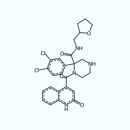 O=C(c1cc(=O)[nH]c2ccccc12)N1CCNCC1(C(=O)NCC1CCCO1)c1ccc(Cl)c(Cl)c1